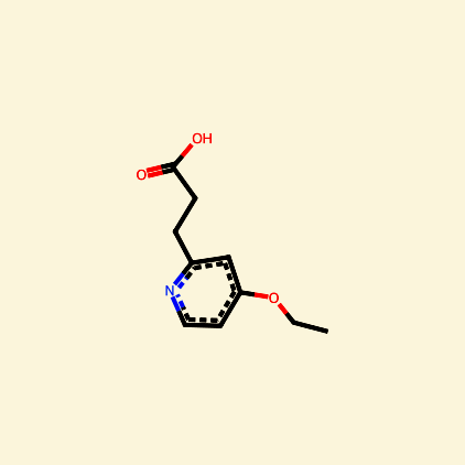 CCOc1ccnc(CCC(=O)O)c1